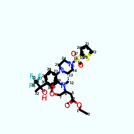 CCOC(=O)CC1COCCN1C[C@H]1CN(S(=O)(=O)c2cccs2)CCN1c1ccc(C(C)(O)C(F)(F)F)cc1